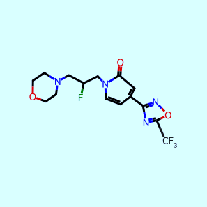 O=c1cc(-c2noc(C(F)(F)F)n2)ccn1CC(F)CN1CCOCC1